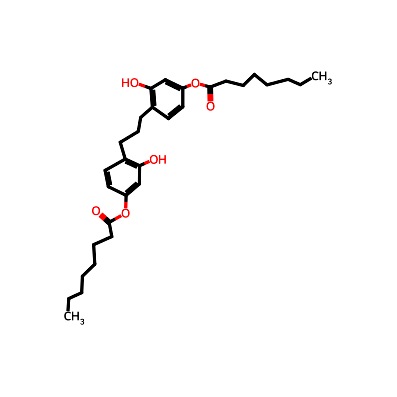 CCCCCCCC(=O)Oc1ccc(CCCc2ccc(OC(=O)CCCCCCC)cc2O)c(O)c1